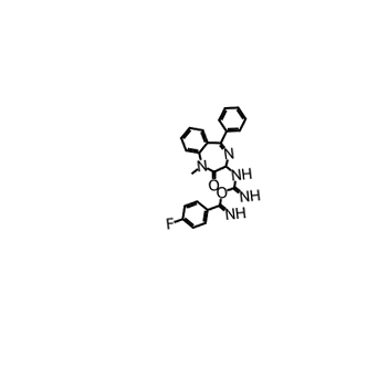 CN1C(=O)C(NC(=N)OC(=N)c2ccc(F)cc2)N=C(c2ccccc2)c2ccccc21